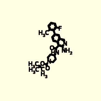 Cc1cccc(F)c1-c1ccc2c(C(=O)NC3CCN(C(=O)OC(C)(C)C)CC3)c(N)ncc2c1